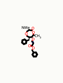 CN[C@H]1COC[C@H](Cc2ccccc2)[C@@H](O/C=C/C(=O)OCc2ccccc2)[C@H](C)OC1=O